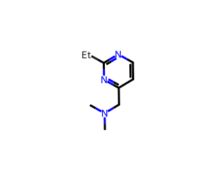 CCc1nccc(CN(C)C)n1